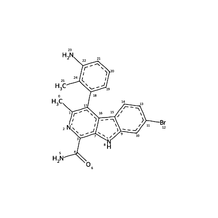 Cc1nc(C(N)=O)c2[nH]c3cc(Br)ccc3c2c1-c1cccc(N)c1C